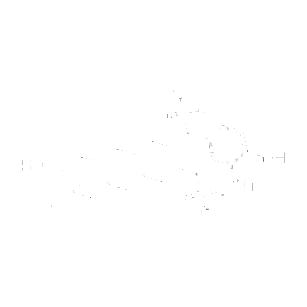 CCCCCCCCC(c1ccc(O)c(C)c1C(CCCCCCCC)S(=O)(=O)O)S(=O)(=O)O